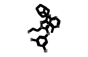 Cc1cc(N2CC3CCC(C2)C3Nc2nc(Oc3cc(F)cc(Cl)c3)n(CCF)n2)ncn1